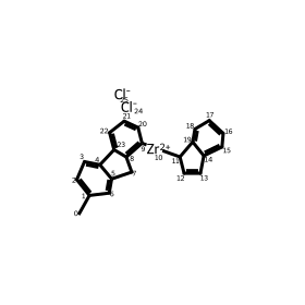 Cc1ccc2c(c1)Cc1[c]([Zr+2][CH]3C=Cc4ccccc43)cccc1-2.[Cl-].[Cl-]